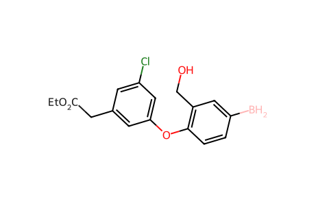 Bc1ccc(Oc2cc(Cl)cc(CC(=O)OCC)c2)c(CO)c1